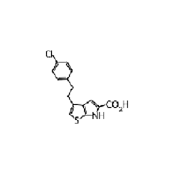 O=C(O)c1cc2c(CCc3ccc(Cl)cc3)csc2[nH]1